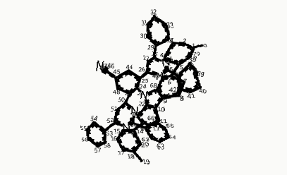 Cc1cccc(-c2ccc3c4ccc(-c5cccc(C)c5)cc4n(-c4c(-c5cc(-c6ccccc6)nc(-c6ccccc6)n5)cc(C#N)cc4-c4cc(-c5ccccc5)nc(-c5ccccc5)n4)c3c2)c1